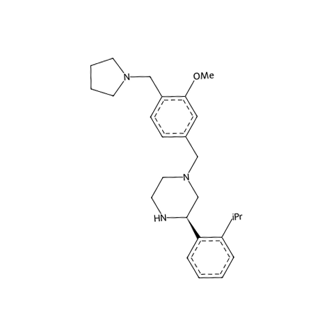 COc1cc(CN2CCN[C@H](c3ccccc3C(C)C)C2)ccc1CN1CCCC1